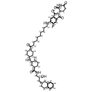 O=C1CCC(N2C(=O)c3cc(F)c(NCCCCCCCCCC(=O)N4CCC(NC5CC(C(=O)NC[C@H](O)CN6CCc7ccccc7C6)CCN5)CC4)cc3C2=O)C(=O)N1